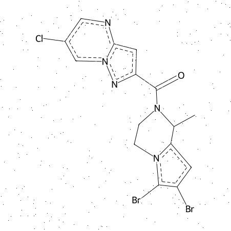 CC1c2cc(Br)c(Br)n2CCN1C(=O)c1cc2ncc(Cl)cn2n1